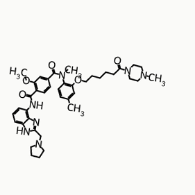 COc1cc(C(=O)N(C)c2ccc(C)cc2OCCCCCC(=O)N2CCN(C)CC2)ccc1C(=O)Nc1cccc2[nH]c(CN3CCCC3)nc12